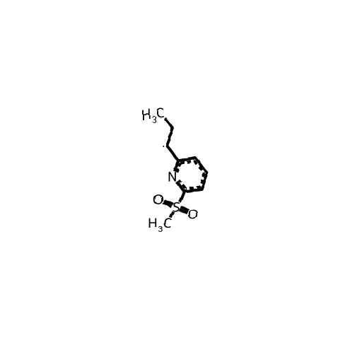 CC[CH]c1cccc(S(C)(=O)=O)n1